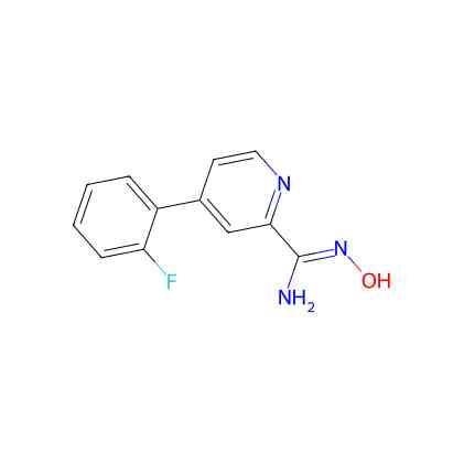 NC(=NO)c1cc(-c2ccccc2F)ccn1